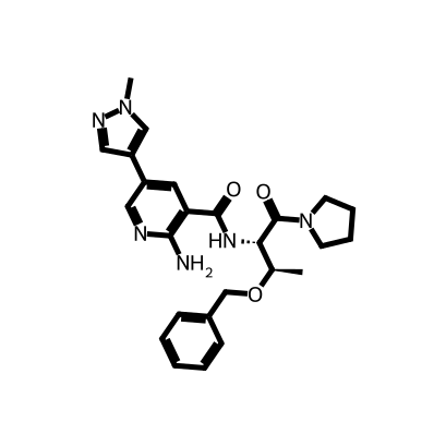 C[C@@H](OCc1ccccc1)[C@H](NC(=O)c1cc(-c2cnn(C)c2)cnc1N)C(=O)N1CCCC1